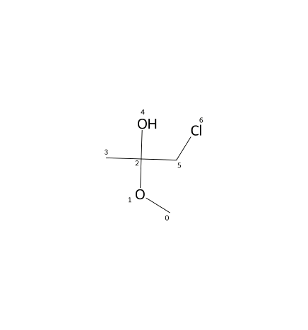 COC(C)(O)CCl